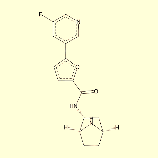 O=C(N[C@@H]1C[C@H]2CC[C@@H]1N2)c1ccc(-c2cncc(F)c2)o1